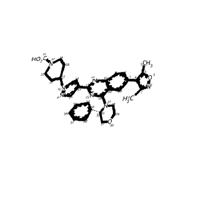 Cc1noc(C)c1-c1ccc2nc(-c3cnn(C4CCN(C(=O)O)CC4)c3)nc(N3CCOC[C@@H]3c3ccccc3)c2c1